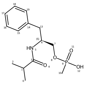 CC(C)C(=O)N[C@H](COP(C)(=O)O)Cc1ccccc1